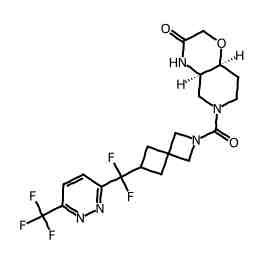 O=C1CO[C@H]2CCN(C(=O)N3CC4(CC(C(F)(F)c5ccc(C(F)(F)F)nn5)C4)C3)C[C@H]2N1